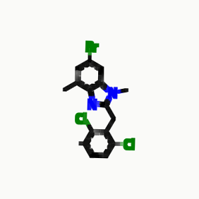 Cc1cc(Br)cc2c1nc(Cc1c(Cl)[c]ccc1Cl)n2C